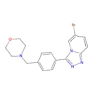 Brc1ccc2nnc(-c3ccc(CN4CCOCC4)cc3)n2c1